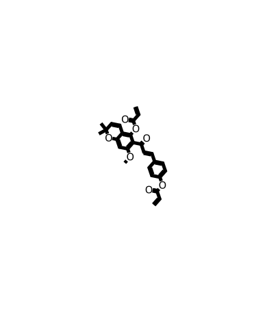 C=CC(=O)Oc1ccc(/C=C/C(=O)c2c(OC)cc3c(c2OC(=O)C=C)C=CC(C)(C)O3)cc1